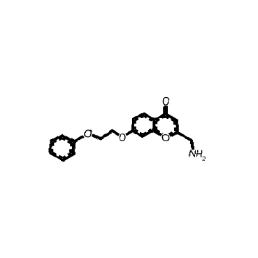 NCc1cc(=O)c2ccc(OCCOc3ccccc3)cc2o1